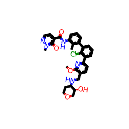 COc1nc(-c2cccc(-c3cccc(NC(=O)c4ccnn(C)c4=O)c3C)c2Cl)ccc1CNC1CCOC[C@@H]1O